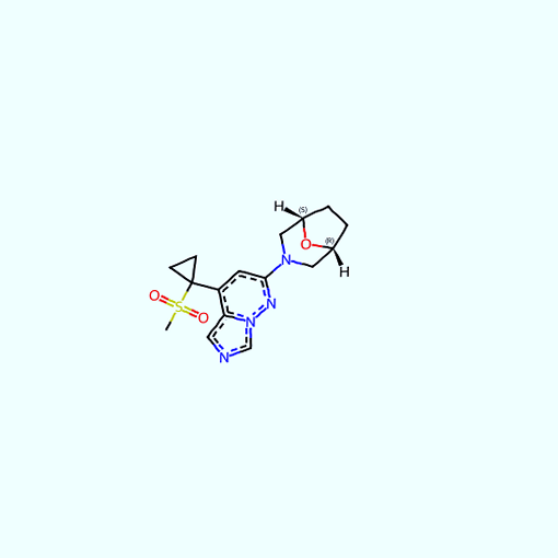 CS(=O)(=O)C1(c2cc(N3C[C@H]4CC[C@@H](C3)O4)nn3cncc23)CC1